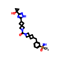 N=S(=O)(c1cccc(CC2CC3(C2)CN(C(=O)N2CC4(CC(c5nc(C6(O)CC6)n[nH]5)C4)C2)C3)c1)C(F)(F)F